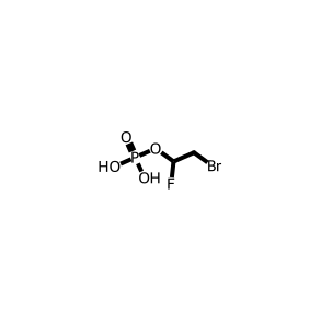 O=P(O)(O)OC(F)CBr